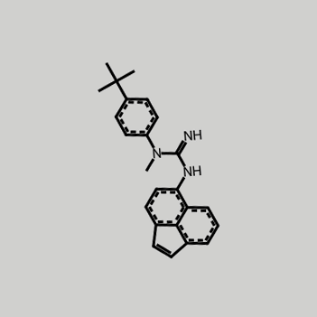 CN(C(=N)Nc1ccc2c3c(cccc13)C=C2)c1ccc(C(C)(C)C)cc1